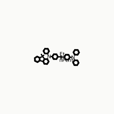 CCCCCC(CC)(c1ccc(N(c2ccccc2)c2ccccc2)cc1)c1ccc(N(c2ccccc2)c2cccc3c2C(C)(C)c2ccccc2-3)cc1